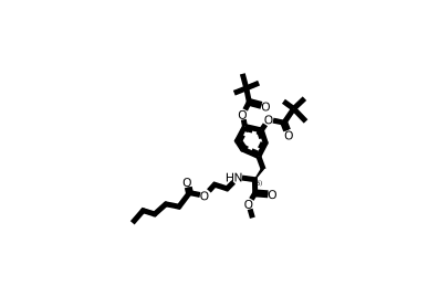 CCCCCC(=O)OCCN[C@@H](Cc1ccc(OC(=O)C(C)(C)C)c(OC(=O)C(C)(C)C)c1)C(=O)OC